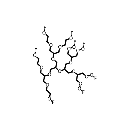 FOCCOCC(COCCOF)OCC(COC(COCCOF)COCCOF)OC(COC(COOF)COOF)COC(COOF)COOF